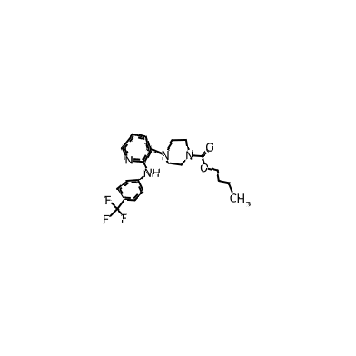 CCCCOC(=O)N1CCN(c2cccnc2Nc2ccc(C(F)(F)F)cc2)CC1